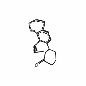 O=C1CCCC2c3ccc4ccccc4c3C=CC12